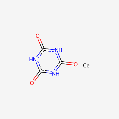 O=c1[nH]c(=O)[nH]c(=O)[nH]1.[Ce]